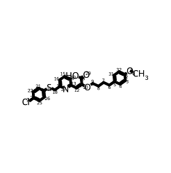 COc1ccc(CCCCO/C(=C/c2cccc(CSc3ccc(Cl)cc3)n2)C(=O)O)cc1